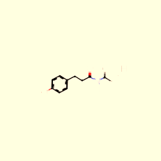 CC(C)C(NC(=O)CCc1ccc(O)cc1)C(=O)O